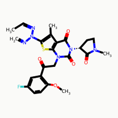 C=NN(/N=C\C)c1sc2c(c1C)c(=O)n([C@@H]1CCN(C)C1=O)c(=O)n2CC(=O)c1cc(F)ccc1OC